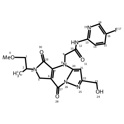 COCC(C)N1Cc2c(n(CC(=O)Nc3ccc(F)cn3)c3cc(CO)nn3c2=O)C1=O